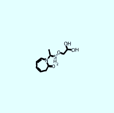 CC([SiH2]OCC(O)O)N1C=CC=CCC1=O